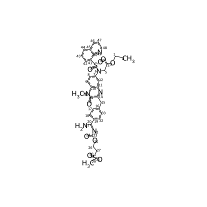 CCOC(=O)CN(c1ccc2c(c1)nc(Cc1ccc(C(N)=NC(=O)OCCS(C)(=O)=O)cc1)c(=O)n2C)S(=O)(=O)c1cccc2cccnc12